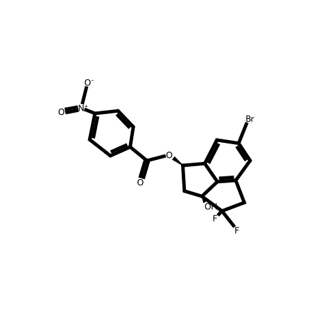 O=C(O[C@@H]1C[C@]2(O)c3c(cc(Br)cc31)CC2(F)F)c1ccc([N+](=O)[O-])cc1